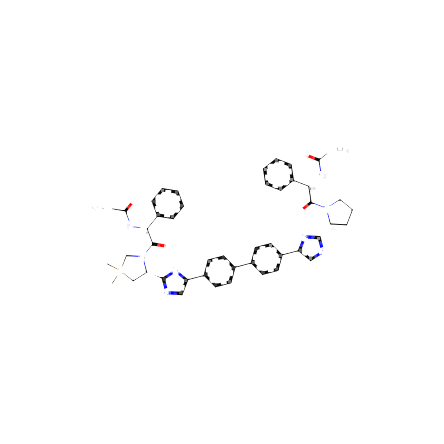 COC(=O)N[C@H](C(=O)N1CCC[C@@H]1c1ncc(-c2ccc(-c3ccc(-c4cnc([C@H]5CS(C)(C)CN5C(=O)[C@@H](NC(=O)OC)c5ccccc5)[nH]4)cc3)cc2)[nH]1)c1ccccc1